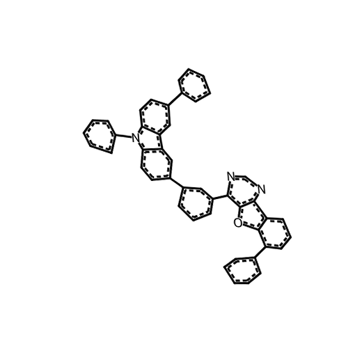 c1ccc(-c2ccc3c(c2)c2cc(-c4cccc(-c5ncnc6c5oc5c(-c7ccccc7)cccc56)c4)ccc2n3-c2ccccc2)cc1